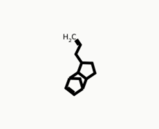 C=CCC1CCC2C3C=CC(C3)C12